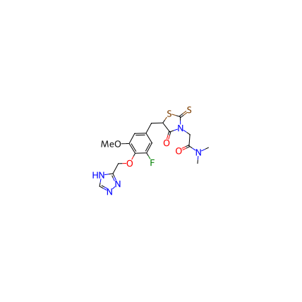 COc1cc(CC2SC(=S)N(CC(=O)N(C)C)C2=O)cc(F)c1OCc1nnc[nH]1